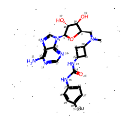 CN(C[C@H]1O[C@@H](n2cnc3c(N)ncnc32)[C@H](O)[C@H]1O)C1CC(NC(=O)Nc2ccc(C(C)(C)C)cc2)C1